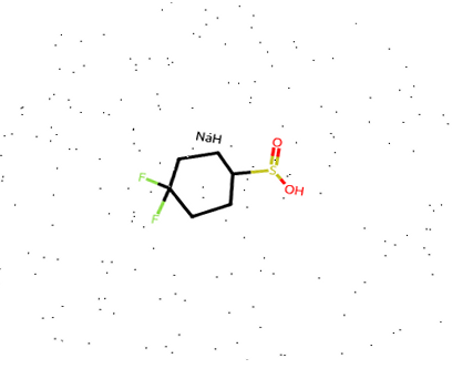 O=S(O)C1CCC(F)(F)CC1.[NaH]